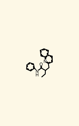 CCC(Cc1ccc2ccccc2n1)C(=O)Nc1ccccc1